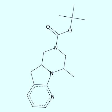 CC1CN(C(=O)OC(C)(C)C)CC2Cc3cccnc3N12